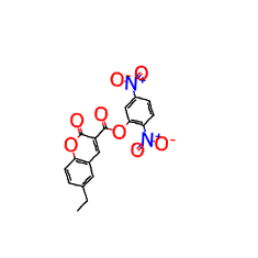 CCc1ccc2oc(=O)c(C(=O)Oc3cc([N+](=O)[O-])ccc3[N+](=O)[O-])cc2c1